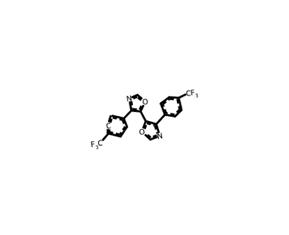 FC(F)(F)c1ccc(-c2ncoc2-c2ocnc2-c2ccc(C(F)(F)F)cc2)cc1